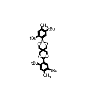 Cc1cc(C(C)(C)C)c(C2OCC3(CO2)COP(c2cc(C(C)(C)C)c(C)cc2C(C)(C)C)OC3)cc1C(C)(C)C